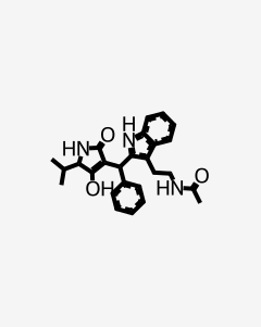 CC(=O)NCCc1c(C(C2=C(O)C(C(C)C)NC2=O)c2ccccc2)[nH]c2ccccc12